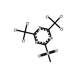 CS(=O)(=O)c1nc(C(Cl)(Cl)Cl)nc(C(Cl)(Cl)Cl)n1